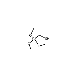 C[O][Ge]([CH2]S)([O]C)[O]C